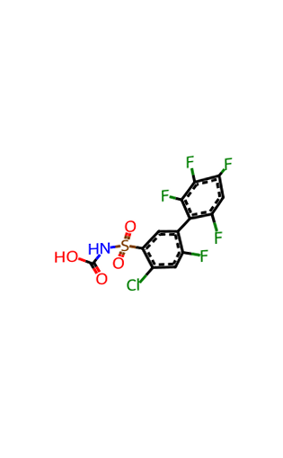 O=C(O)NS(=O)(=O)c1cc(-c2c(F)cc(F)c(F)c2F)c(F)cc1Cl